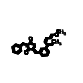 C\C=C(/C=C\C=C\OC)c1cccc(/C=C2\SC(=O)N(Cc3ccccc3)C2=O)c1